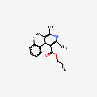 CC(=O)C1=C(C)NC(C)=C(C(=O)OCCC#N)C1c1ccccc1C(F)(F)F